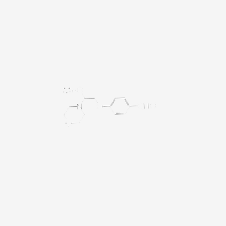 COC(COc1ccc(C=O)cc1)N1CCOCC1